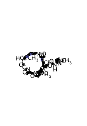 CC1=C\[C@@H](O)CC(=O)Cc2nc(co2)C(=O)N2CCC[C@@H]2C(=O)O[C@H]([C@H](C)COC(=O)Nc2ccn(C)n2)[C@H](C)/C=C(\C=O)CNC\C=C\1